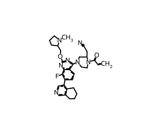 C=CC(=O)N1CCN(c2nc(OCC3CCCN3C)nc3c(F)c(-c4cncc5c4CCCC5)ccc23)CC1CC#N